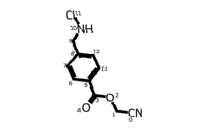 N#CCOC(=O)c1ccc(CNCl)cc1